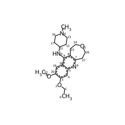 CCOc1cc2nc3c(c(NC4CCN(C)CC4)c2cc1OC)CCOCC3